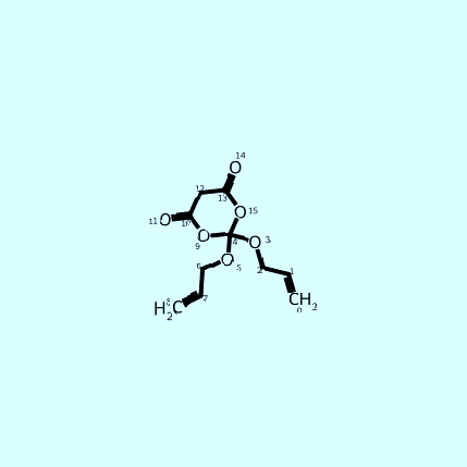 C=CCOC1(OCC=C)OC(=O)CC(=O)O1